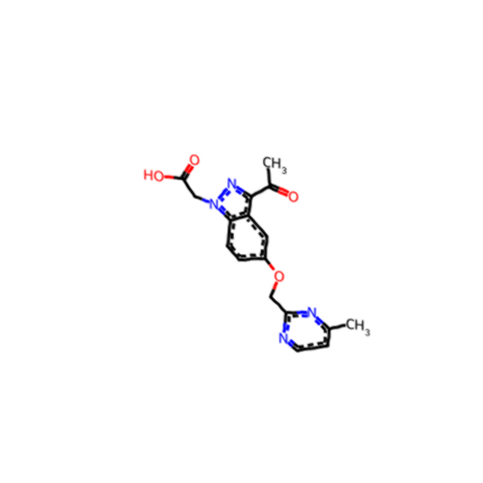 CC(=O)c1nn(CC(=O)O)c2ccc(OCc3nccc(C)n3)cc12